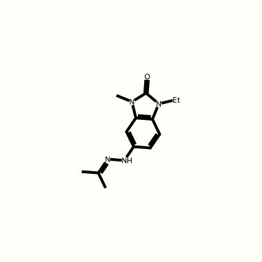 CCn1c(=O)n(C)c2cc(NN=C(C)C)ccc21